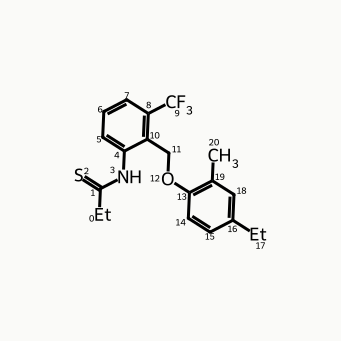 CCC(=S)Nc1cccc(C(F)(F)F)c1COc1ccc(CC)cc1C